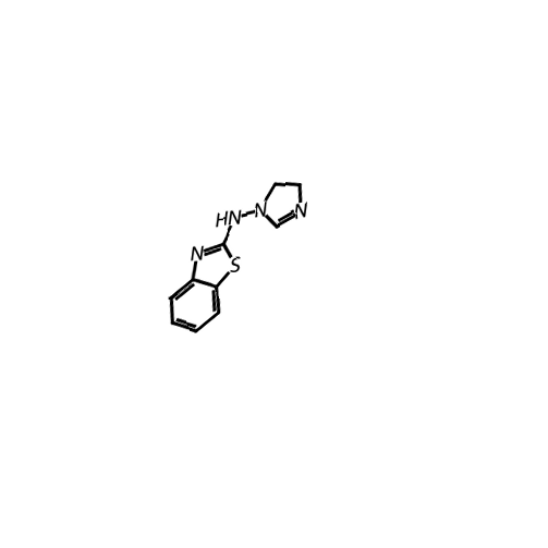 C1=NCCN1Nc1nc2ccccc2s1